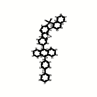 CC1(C)c2ccc3c(oc4cc(-c5c6ccccc6c(-c6ccc(-c7ccccc7)cc6)c6ccccc56)ccc43)c2-c2ccc3ccccc3c21